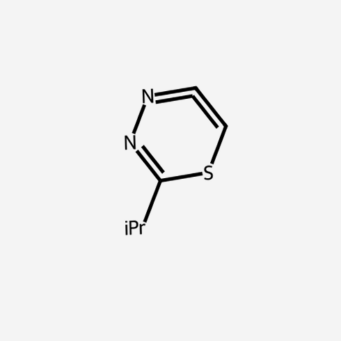 CC(C)C1=NN=C=CS1